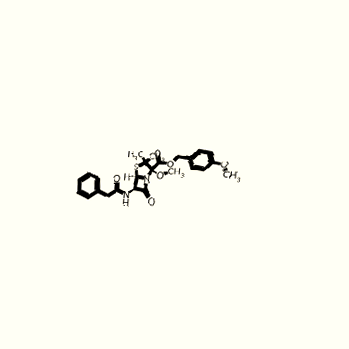 COc1ccc(COC(=O)[C@]2(OC)N3C(=O)[C@@H](NC(=O)Cc4ccccc4)[C@H]3SC2(C)C)cc1